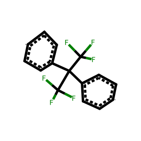 FC(F)(F)C(c1cc[c]cc1)(c1cc[c]cc1)C(F)(F)F